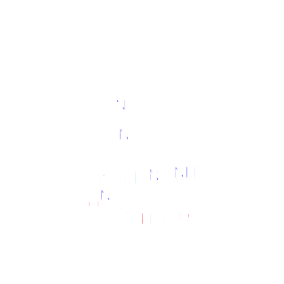 CC1=C(C(=O)O)C(c2cccc([N+](=O)[O-])c2Cl)N(CCCN2CCN(Cc3ccccc3)CC2)C(=O)N1